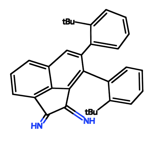 CC(C)(C)c1ccccc1-c1cc2cccc3c2c(c1-c1ccccc1C(C)(C)C)C(=N)C3=N